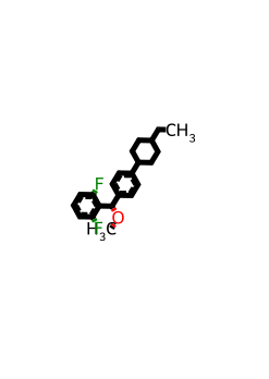 CCC1CCC(c2ccc(C(OC)c3c(F)cccc3F)cc2)CC1